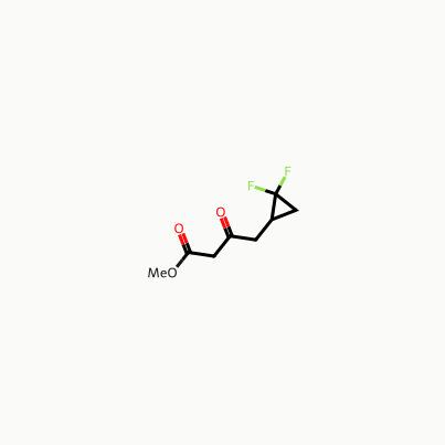 COC(=O)CC(=O)CC1CC1(F)F